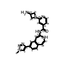 Cn1cc(-c2ccc3c(c2)C=C(NC(=O)c2ccnc(N4CC(N)C4)c2)NC=C3)nn1